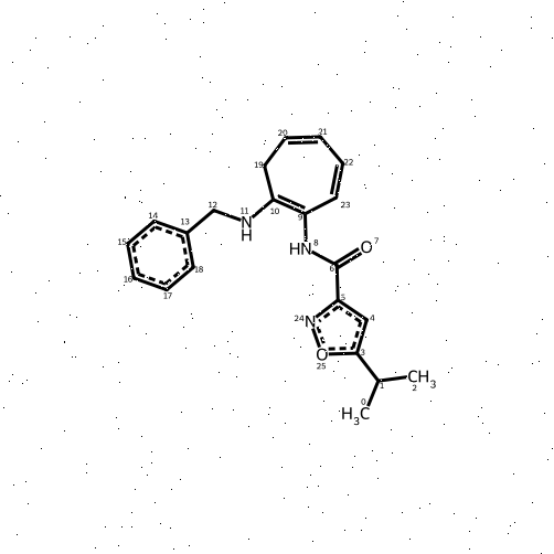 CC(C)c1cc(C(=O)NC2=C(NCc3ccccc3)CC=CC=C2)no1